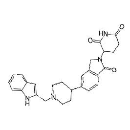 O=C1CCC(N2Cc3cc(C4CCN(Cc5cc6ccccc6[nH]5)CC4)ccc3C2=O)C(=O)N1